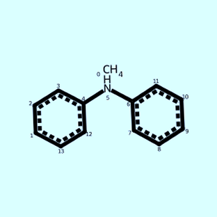 C.c1ccc(Nc2ccccc2)cc1